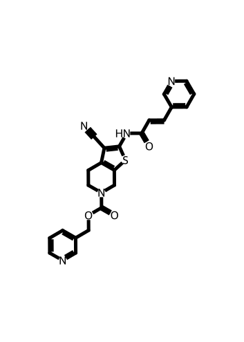 N#Cc1c(NC(=O)C=Cc2cccnc2)sc2c1CCN(C(=O)OCc1cccnc1)C2